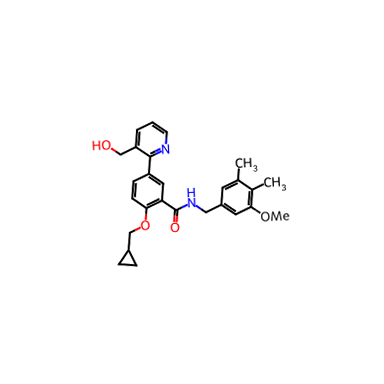 COc1cc(CNC(=O)c2cc(-c3ncccc3CO)ccc2OCC2CC2)cc(C)c1C